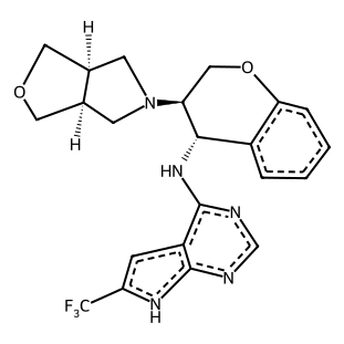 FC(F)(F)c1cc2c(N[C@H]3c4ccccc4OC[C@@H]3N3C[C@H]4COC[C@H]4C3)ncnc2[nH]1